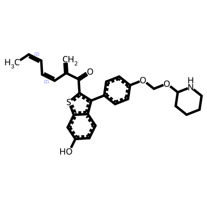 C=C(/C=C\C=C/C)C(=O)c1sc2cc(O)ccc2c1-c1ccc(OCOC2CCCCN2)cc1